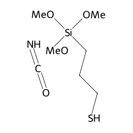 CO[Si](CCCS)(OC)OC.N=C=O